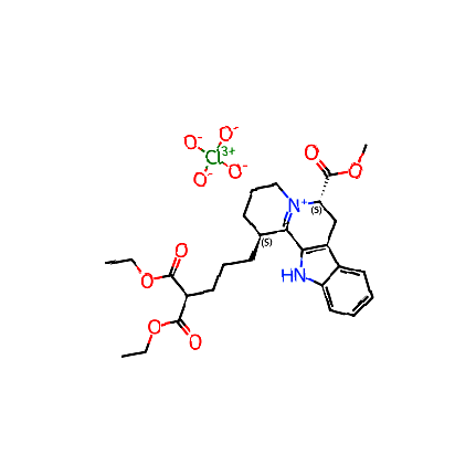 CCOC(=O)C(CCC[C@H]1CCC[N+]2=C1c1[nH]c3ccccc3c1C[C@H]2C(=O)OC)C(=O)OCC.[O-][Cl+3]([O-])([O-])[O-]